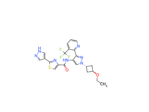 CCO[C@H]1C[C@H](n2cc(NC(=O)c3csc(-c4cn[nH]c4)n3)c(-c3ncccc3C(F)(F)F)n2)C1